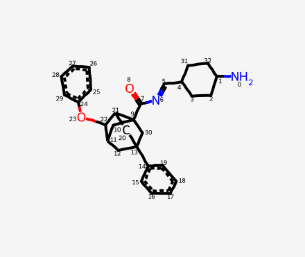 NC1CCC(/C=N/C(=O)C23CC4CC(c5ccccc5)(CC2C4Oc2ccccc2)C3)CC1